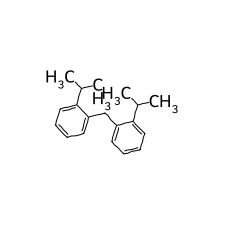 CC(C)c1ccccc1Cc1ccccc1C(C)C